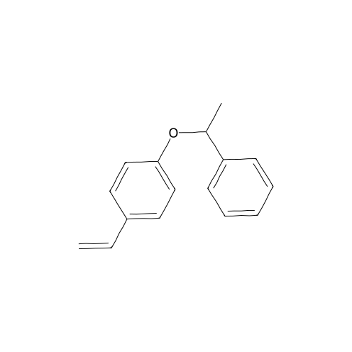 C=Cc1ccc(OC(C)c2ccccc2)cc1